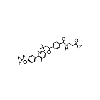 COC(=O)CCNC(=O)c1ccc(C(CC(C)(C)C)Oc2cnc(-c3ccc(OC(F)(F)F)cc3)c(C)c2)cc1